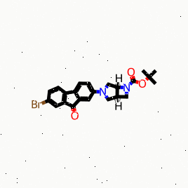 CC(C)(C)OC(=O)N1C[C@H]2CN(c3ccc4c(c3)C(=O)c3cc(Br)ccc3-4)C[C@@H]21